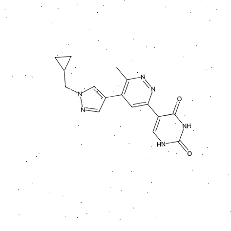 Cc1nnc(-c2c[nH]c(=O)[nH]c2=O)cc1-c1cnn(CC2CC2)c1